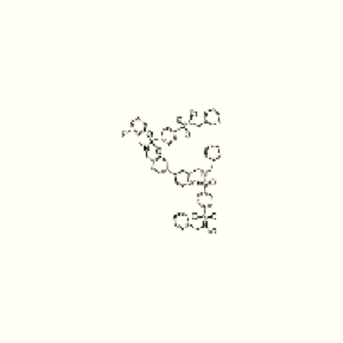 CCN(Cc1ccccc1)S(=O)(=O)c1ccc(S(=O)(=O)N(Cc2ccccc2)Cc2cc(-c3ccc(CN(Cc4ccccc4F)S(=O)(=O)c4ccc(S(=O)(=O)N(CC)Cc5ccccc5)cc4)cc3)ccn2)cc1